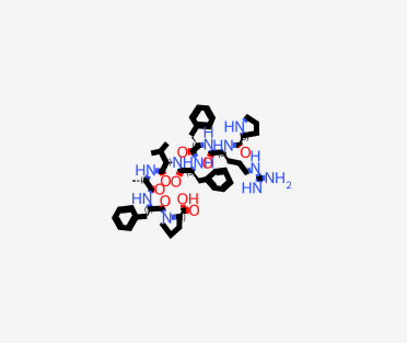 CC(C)[C@H](NC(=O)[C@H](Cc1ccccc1)NC(=O)[C@H](Cc1ccccc1)NC(=O)[C@H](CCCNC(=N)N)NC(=O)[C@@H]1CCCN1)C(=O)N[C@@H](C)C(=O)N[C@@H](Cc1ccccc1)C(=O)N1CCC[C@@H]1C(=O)O